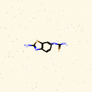 NC(=S)Nc1ccc2nc(N)sc2c1